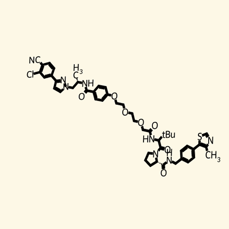 Cc1ncsc1-c1ccc(CNC(=O)[C@@H]2CCCN2C(=O)C(NC(=O)COCCOCCOc2ccc(C(=O)N[C@@H](C)Cn3ccc(-c4ccc(C#N)c(Cl)c4)n3)cc2)C(C)(C)C)cc1